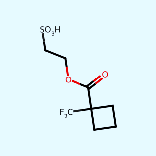 O=C(OCCS(=O)(=O)O)C1(C(F)(F)F)CCC1